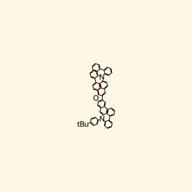 CC(C)(C)c1ccc(N(c2ccc3cc4c(cc3c2)oc2cc3cc(N(c5ccccc5-c5ccccc5)c5ccccc5-c5ccccc5)ccc3cc24)c2ccccc2-c2ccccc2)cc1